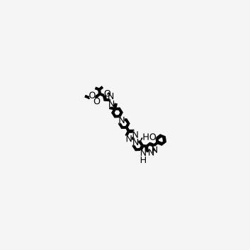 CCOC(=O)C(c1cc(N2CC3(CCC(N4CCC(c5cnc(N6CCc7[nH]c8nnc(-c9ccccc9O)cc8c7[C@@H]6C)nc5)CC4)CC3)C2)no1)C(C)C